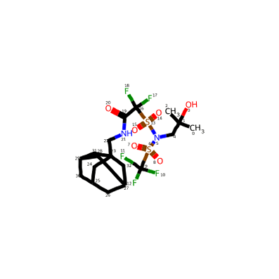 CC(C)(O)CN(S(=O)(=O)C(F)(F)F)S(=O)(=O)C(F)(F)C(=O)NCC12CC3CC(CC(C3)C1)C2